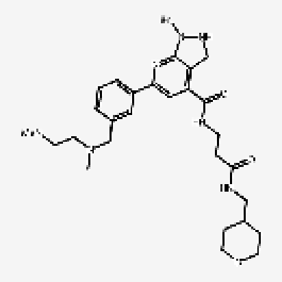 CNCCN(C)Cc1cccc(-c2cc(C(=O)NCCC(=O)NCC3CCOCC3)c3c(n2)N(C(C)C)NC3)c1